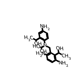 CC(O)c1cc(N)ccc1N(Cc1c(N)ccc(N)c1C(C)O)C(C)O